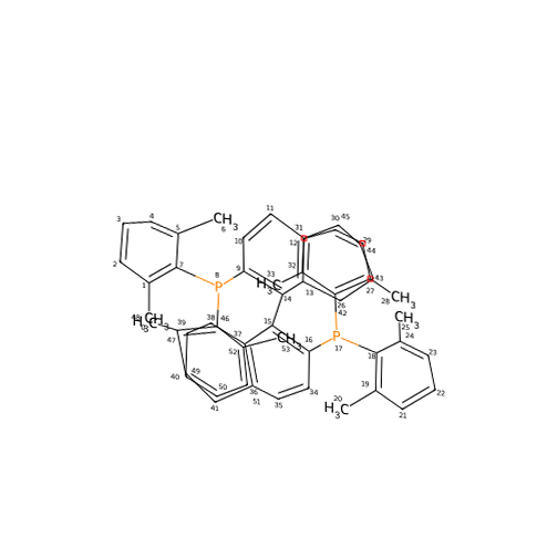 Cc1cccc(C)c1P(c1ccc2c(c1-c1c(P(c3c(C)cccc3C)c3c(C)cccc3C)ccc3c1CCCC3)CCCC2)c1c(C)cccc1C